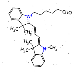 CN1/C(=C/C=C/C2=[N+](CCCCCC=O)c3ccccc3C2(C)C)C(C)(C)c2ccccc21